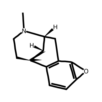 CN1CC[C@]23CCCC[C@H]2[C@H]1Cc1c3ccc2c1O2